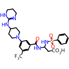 O=C(O)CC(NC(=O)c1cc(N2CCC(NC3=NCCCN3)CC2)cc(C(F)(F)F)c1)NS(=O)(=O)c1ccccc1